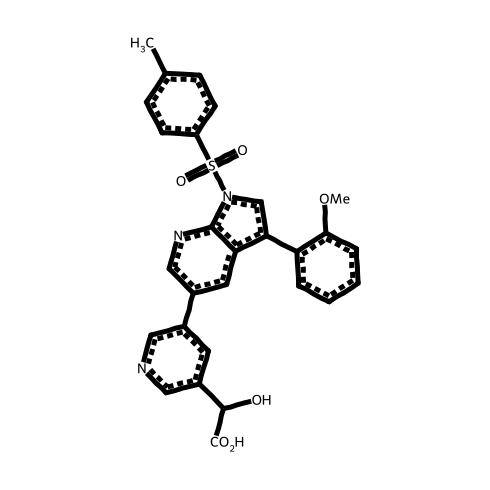 COc1ccccc1-c1cn(S(=O)(=O)c2ccc(C)cc2)c2ncc(-c3cncc(C(O)C(=O)O)c3)cc12